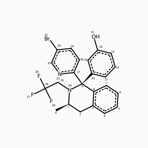 C[C@@H]1Cc2ccccc2[C@@](c2cccc(O)c2)(c2ccc(Br)cn2)N1CC(F)(F)F